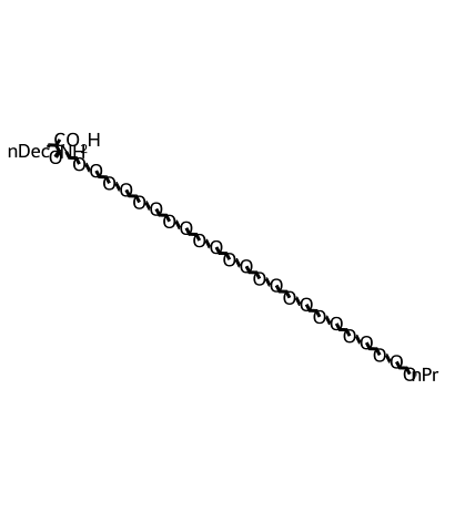 CCCCCCCCCCCC(C(=O)O)C(=O)NCCOCCOCCOCCOCCOCCOCCOCCOCCOCCOCCOCCOCCOCCOCCOCCOCCOCCOCCOCCOCCOCCOCCOCCC